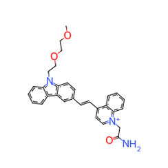 COCCOCCn1c2ccccc2c2cc(/C=C/c3cc[n+](CC(N)=O)c4ccccc34)ccc21